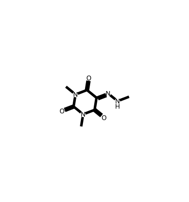 CNN=C1C(=O)N(C)C(=O)N(C)C1=O